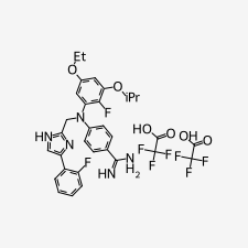 CCOc1cc(OC(C)C)c(F)c(N(Cc2nc(-c3ccccc3F)c[nH]2)c2ccc(C(=N)N)cc2)c1.O=C(O)C(F)(F)F.O=C(O)C(F)(F)F